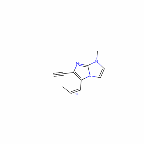 C#Cc1nc2n(C)ccn2c1/C=C\C